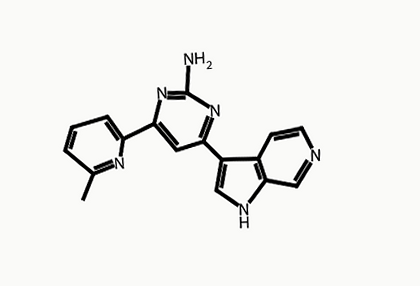 Cc1cccc(-c2cc(-c3c[nH]c4cnccc34)nc(N)n2)n1